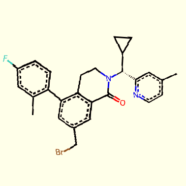 Cc1ccnc([C@@H](C2CC2)N2CCc3c(cc(CBr)cc3-c3ccc(F)cc3C)C2=O)c1